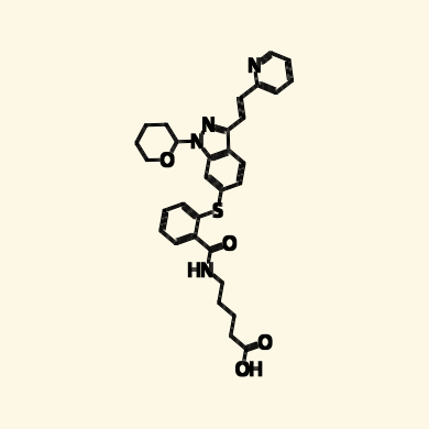 O=C(O)CCCCNC(=O)c1ccccc1Sc1ccc2c(C=Cc3ccccn3)nn(C3CCCCO3)c2c1